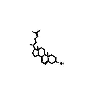 CC(C)=CCCC(C)C1CCC2C3=CC=C4CC(O)CCC4(C)C3CCC21C